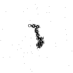 CC1(C)O[C@@H]2[C@@H](CO[C@@]3(CCS(=O)(=O)NC(=O)c4ccc(N5CCN(Cc6ccccc6-c6ccc(Cl)cc6)CC5)cc4)OC(C)(C)O[C@@H]23)O1